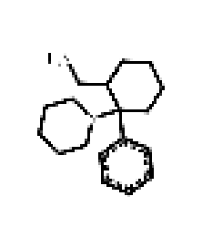 NCC1CCCCC1(c1ccccc1)N1CCCCC1